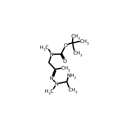 C/C(CN(C)C(=O)OC(C)(C)C)=N\N(C)C(C)N